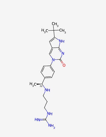 C[C@H](NCCCNC(=N)N)c1ccc(-n2cc3cc(C(C)(C)C)[nH]c3nc2=O)cc1